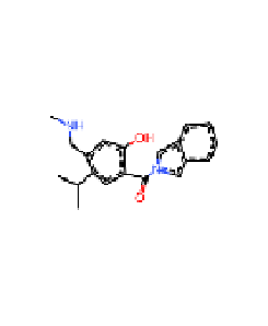 CNCc1cc(O)c(C(=O)n2cc3ccccc3c2)cc1C(C)C